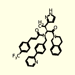 CC(c1cc[nH]n1)[C@@H](C(=O)N1CCc2ccccc2C1)N(Cc1ccc(-c2ccccn2)cc1)C(=O)C=Cc1ccc(C(F)(F)F)cc1